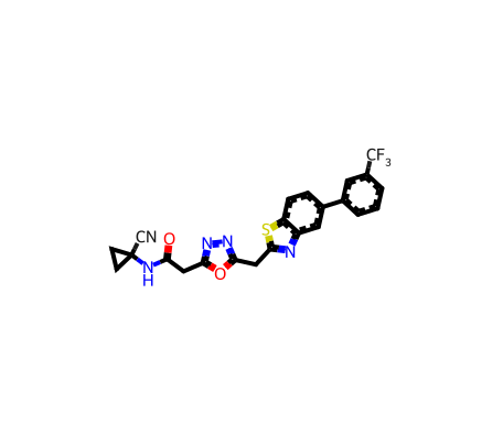 N#CC1(NC(=O)Cc2nnc(Cc3nc4cc(-c5cccc(C(F)(F)F)c5)ccc4s3)o2)CC1